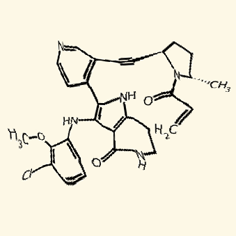 C=CC(=O)N1[C@@H](C)CC[C@@H]1C#Cc1cnccc1-c1[nH]c2c(c1Nc1cccc(Cl)c1OC)C(=O)NCC2